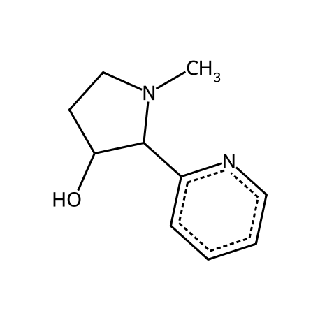 CN1CCC(O)C1c1ccccn1